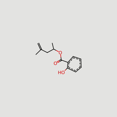 C=C(C)CC(C)OC(=O)c1ccccc1O